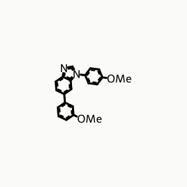 COc1ccc(-n2cnc3ccc(-c4cccc(OC)c4)cc32)cc1